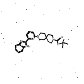 CC(C)(C)OC(=O)N1CCC2(CC1)CCN(c1cccc(-c3nc4ccccc4[nH]3)n1)CC2